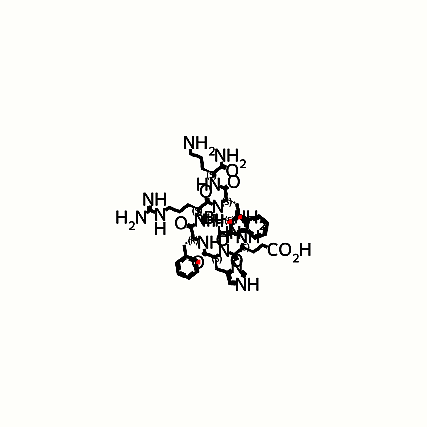 CCCC[C@H](N)C(=O)N[C@@H](CCC(=O)O)C(=O)N[C@@H](Cc1c[nH]cn1)C(=O)N[C@H](Cc1ccccc1)C(=O)N[C@@H](CCCNC(=N)N)C(=O)N[C@@H](Cc1c[nH]c2ccccc12)C(=O)N[C@@H](CCCN)C(N)=O